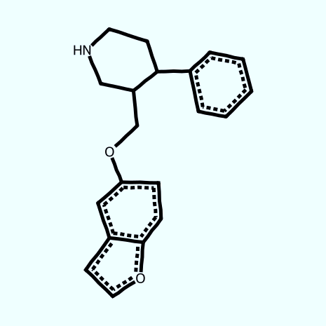 c1ccc(C2CCNCC2COc2ccc3occc3c2)cc1